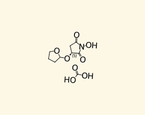 O=C(O)O.O=C1C[C@H](OC2CCCO2)C(=O)N1O